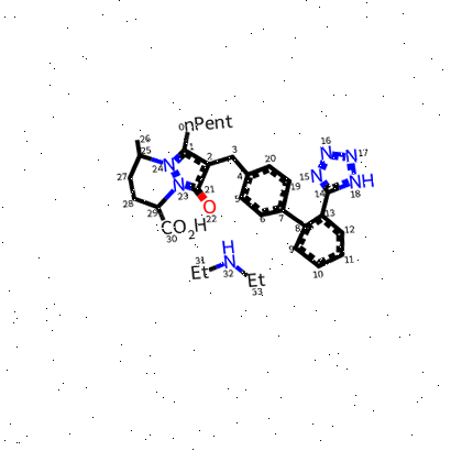 CCCCCc1c(Cc2ccc(-c3ccccc3-c3nnn[nH]3)cc2)c(=O)n2n1C(C)CCC2C(=O)O.CCNCC